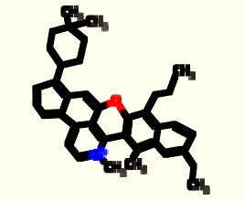 CCCc1c2c(c(C)c3cc(CC)ccc13)-c1c3c(cc4c(C5CCC(C)(C)CC5)cccc4c3cc[n+]1C)O2